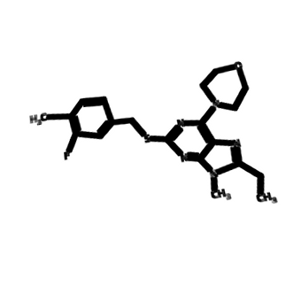 CCc1nc2c(N3CCOCC3)nc(SCc3ccc(C)c(F)c3)nc2n1C